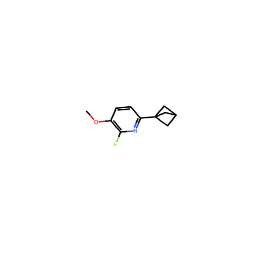 COc1ccc(C23CC(C2)C3)nc1F